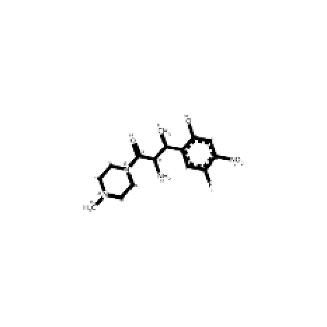 CC(c1cc(F)c([N+](=O)[O-])cc1Cl)C(N)C(=O)N1CCN(C)CC1